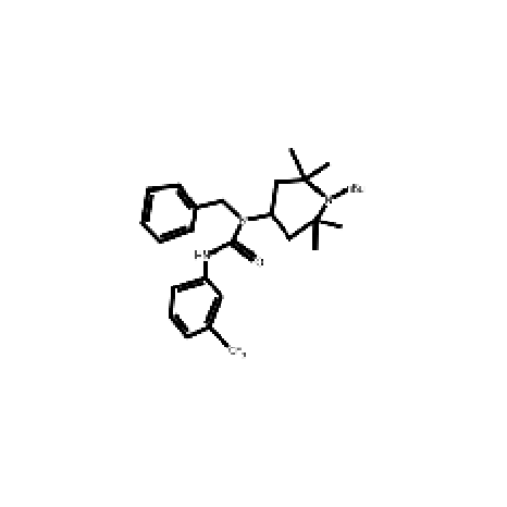 CCCCN1C(C)(C)CC(N(Cc2ccccc2)C(=O)Nc2cccc(C(F)(F)F)c2)CC1(C)C